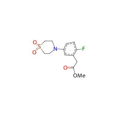 COC(=O)Cc1cc(N2CCS(=O)(=O)CC2)ccc1F